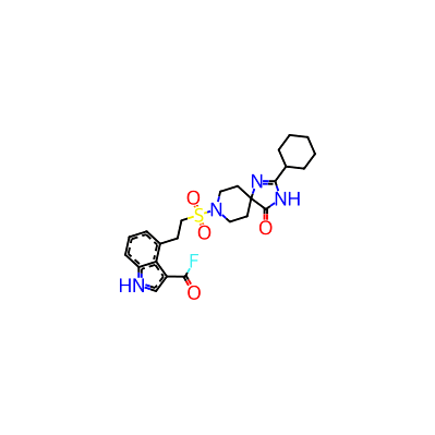 O=C(F)c1c[nH]c2cccc(CCS(=O)(=O)N3CCC4(CC3)N=C(C3CCCCC3)NC4=O)c12